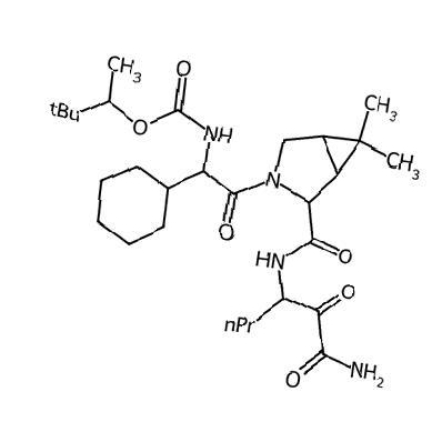 CCCC(NC(=O)C1C2C(CN1C(=O)C(NC(=O)OC(C)C(C)(C)C)C1CCCCC1)C2(C)C)C(=O)C(N)=O